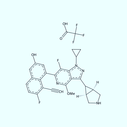 C#Cc1c(F)ccc2cc(O)cc(-c3nc(OC)c4c(C5[C@H]6CNC[C@@H]56)nn(C5CC5)c4c3F)c12.O=C(O)C(F)(F)F